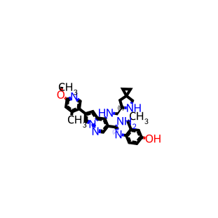 CCc1cc(O)ccc1/N=C(\N)c1cnn2cc(-c3cnc(OC)cc3C)cc2c1NC[C@H]1CC2(CC2)CN1